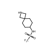 O=S(=O)(NC1CCC2(CC1)CNC2)C(F)(F)F